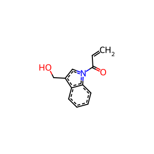 C=CC(=O)n1cc(CO)c2ccccc21